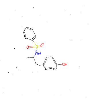 CC(Cc1ccc(O)cc1)NS(=O)(=O)c1ccccc1